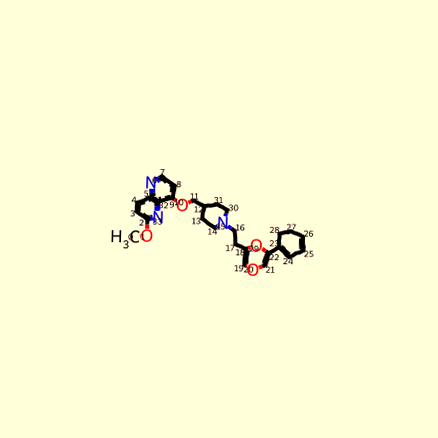 COc1ccc2nccc(OCC3CCN(CCC4=COC=C(C5=CC=CCC5)O4)CC3)c2n1